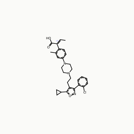 C/C=C(/C(=O)O)c1ccc(N2CCN(CCc3c(-c4ccccc4Cl)noc3C3CC3)CC2)cc1C